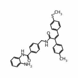 CSc1ccc(C=C(C(=O)NCc2ccc(C(=O)Nc3ccccc3N)cc2)c2ccc(C)cc2)cc1